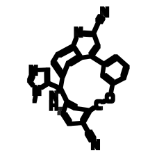 Cn1cncc1[C@@]1(N)c2ccc(C#N)c(c2)COc2cccc(c2)-c2cc(C#N)nc3ccc1cc23